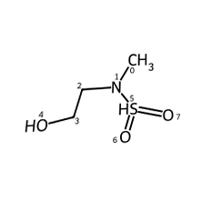 CN(CCO)[SH](=O)=O